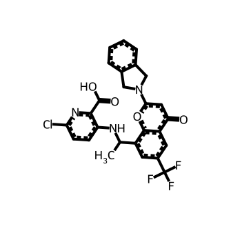 CC(Nc1ccc(Cl)nc1C(=O)O)c1cc(C(F)(F)F)cc2c(=O)cc(N3Cc4ccccc4C3)oc12